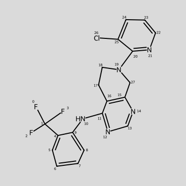 FC(F)(F)c1ccccc1Nc1ncnc2c1CCN(c1ncccc1Cl)C2